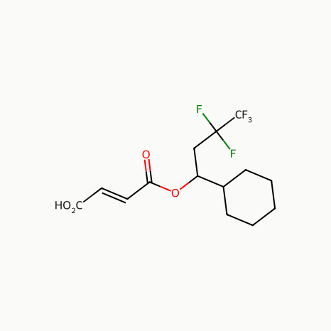 O=C(O)C=CC(=O)OC(CC(F)(F)C(F)(F)F)C1CCCCC1